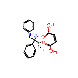 CC(N)(Cc1ccccc1)c1ccccc1.O=C(O)/C=C\C(=O)O